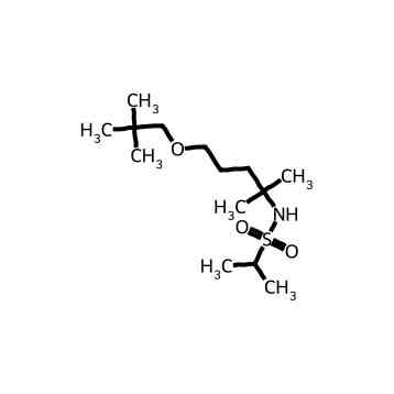 CC(C)S(=O)(=O)NC(C)(C)CCCOCC(C)(C)C